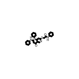 O=C(CSc1cc2c(cn1)c(=O)cc(Nc1ccccc1)n2-c1ccccc1)Nc1ccccc1